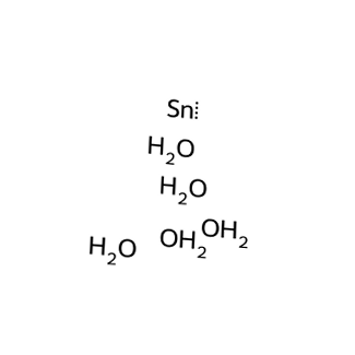 O.O.O.O.O.[Sn]